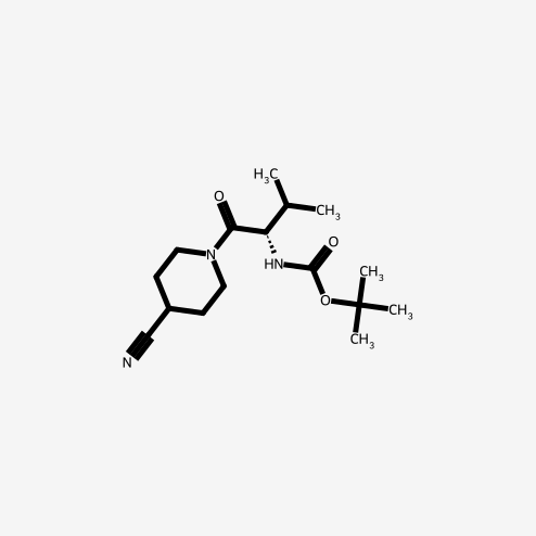 CC(C)[C@H](NC(=O)OC(C)(C)C)C(=O)N1CCC(C#N)CC1